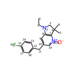 CCN1CC(C)(C)c2c1cc(Cc1ccc(F)cc1)c[n+]2[O-]